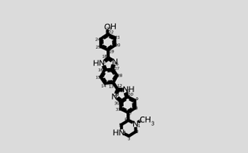 CN1CCNCC1c1ccc2[nH]c(-c3ccc4[nH]c(-c5ccc(O)cc5)nc4c3)nc2c1